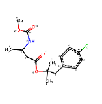 CC(CC(=O)OC(C)(C)Cc1ccc(Cl)cc1)NC(=O)OC(C)(C)C